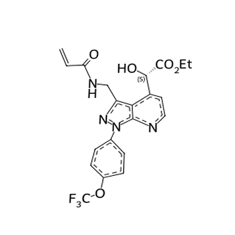 C=CC(=O)NCc1nn(-c2ccc(OC(F)(F)F)cc2)c2nccc([C@H](O)C(=O)OCC)c12